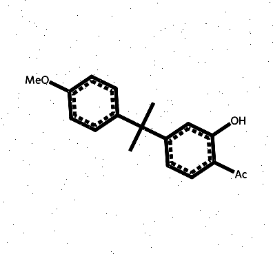 COc1ccc(C(C)(C)c2ccc(C(C)=O)c(O)c2)cc1